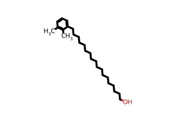 Cc1cccc(CCCCCCCCCCCCCCCCCCO)c1C